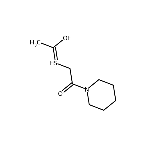 CC(O)=[SH]CC(=O)N1CCCCC1